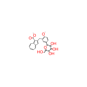 COC(=O)c1c(Cc2cc([C@@H]3O[C@H](CO)[C@@H](O)[C@H](O)[C@H]3O)ccc2OC)cc2cccccc1-2